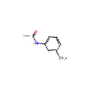 CC(C)C(=O)Nc1cccc(C(=O)O)c1